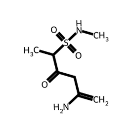 C=C(N)CC(=O)C(C)S(=O)(=O)NC